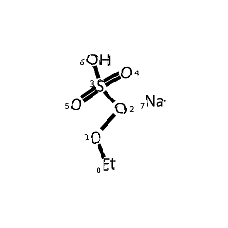 CCOOS(=O)(=O)O.[Na]